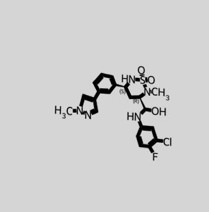 CN1[C@@H](C(O)Nc2ccc(F)c(Cl)c2)C[C@@H](c2cccc(-c3cnn(C)c3)c2)NS1(=O)=O